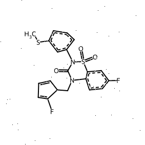 CSc1cccc(N2C(=O)N(CC3C=CC=C3F)c3ccc(F)cc3S2(=O)=O)c1